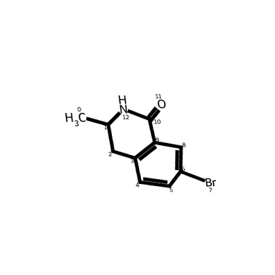 CC1Cc2ccc(Br)cc2C(=O)N1